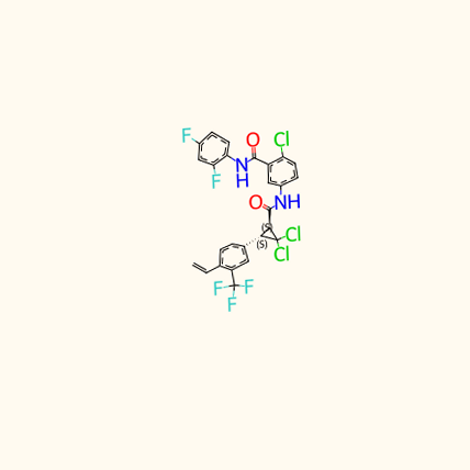 C=Cc1ccc([C@@H]2[C@@H](C(=O)Nc3ccc(Cl)c(C(=O)Nc4ccc(F)cc4F)c3)C2(Cl)Cl)cc1C(F)(F)F